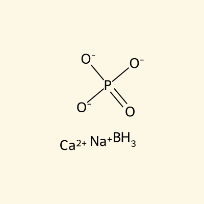 B.O=P([O-])([O-])[O-].[Ca+2].[Na+]